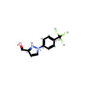 O=Cc1ccn(-c2ccc(C(F)(F)F)cc2)n1